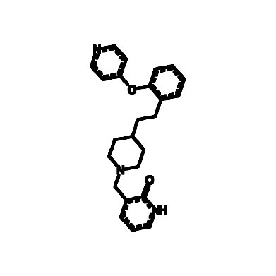 O=c1[nH]cccc1CN1CCC(CCc2ccccc2Oc2ccncc2)CC1